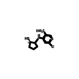 CCOC(=O)c1cnc(Cl)cc1NC1CCC[C@@H]1O